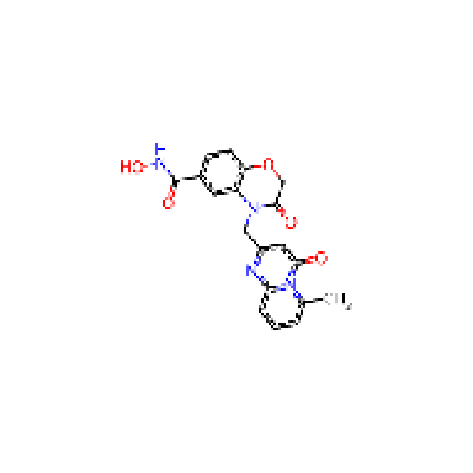 Cc1cccc2nc(CN3C(=O)COc4ccc(C(=O)NO)cc43)cc(=O)n12